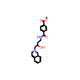 COC(=O)c1ccc(C(=O)NCCC(O)CN2CC=C3C=CC=CC3C2)cc1